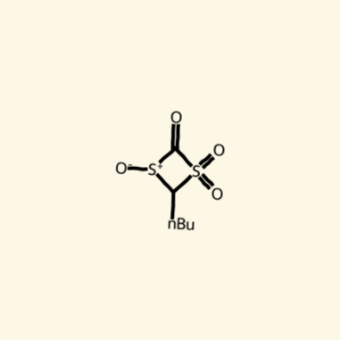 CCCCC1[S+]([O-])C(=O)S1(=O)=O